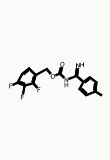 Cc1ccc(C(=N)NC(=O)OCc2ccc(F)c(F)c2F)cc1